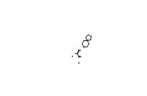 CCOC(=O)/C(NN)=C(/N)SC1CCC2(CCCC2)CC1